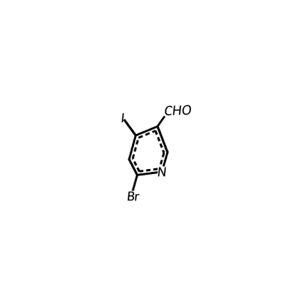 O=Cc1cnc(Br)cc1I